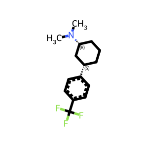 CN(C)[C@@H]1CCC[C@H](c2ccc(C(F)(F)F)cc2)C1